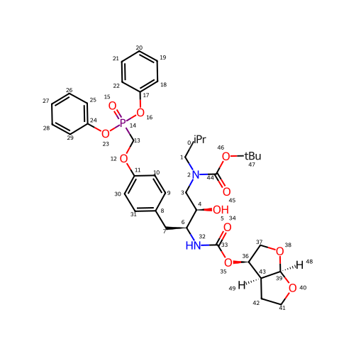 CC(C)CN(C[C@@H](O)[C@H](Cc1ccc(OCP(=O)(Oc2ccccc2)Oc2ccccc2)cc1)NC(=O)O[C@H]1CO[C@H]2OCC[C@H]21)C(=O)OC(C)(C)C